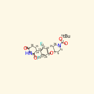 CC(C)(C)OC(=O)N1CCC(Oc2cc(F)c(C3CCC(=O)NC3=O)c(F)c2)CC1